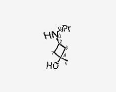 CC(C)N[C@H]1C[C@](C)(O)C1